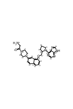 NCC(=O)N1CCN(c2ccc3cccc(OCC4CCCN4c4ncnc5[nH]cnc45)c3c2)CC1